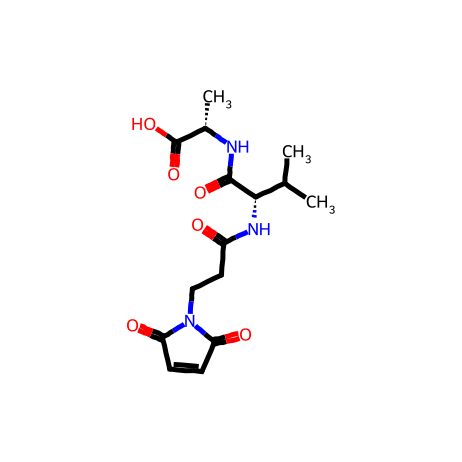 CC(C)[C@H](NC(=O)CCN1C(=O)C=CC1=O)C(=O)N[C@@H](C)C(=O)O